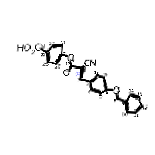 N#C/C(=C\c1ccc(OCc2ccccc2)cc1)C(=O)Oc1ccc(C(=O)O)cc1